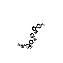 CC(=O)N1CCN(c2cccc3c2ccn3-c2ccnc(NC3CCC(N(CCO[Si](C)(C)C(C)(C)C)S(C)(=O)=O)CC3)n2)CC1